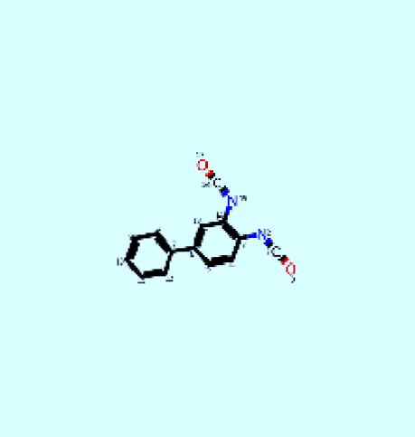 O=C=Nc1ccc(-c2ccccc2)cc1N=C=O